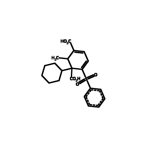 CC1C(C(=O)O)=CC=C(S(=O)(=O)c2ccccc2)C1(C(=O)O)C1CCCCC1